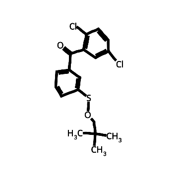 CC(C)(C)COSc1cccc(C(=O)c2cc(Cl)ccc2Cl)c1